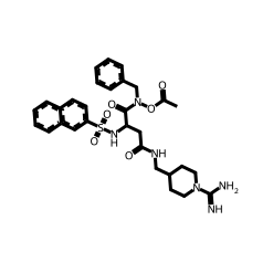 CC(=O)ON(Cc1ccccc1)C(=O)C(CC(=O)NCC1CCN(C(=N)N)CC1)NS(=O)(=O)c1ccc2ccccc2c1